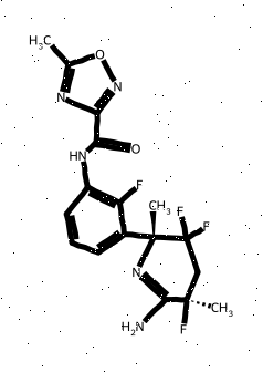 Cc1nc(C(=O)Nc2cccc([C@@]3(C)N=C(N)[C@](C)(F)CC3(F)F)c2F)no1